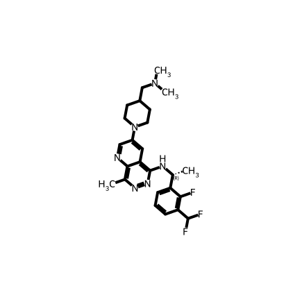 Cc1nnc(N[C@H](C)c2cccc(C(F)F)c2F)c2cc(N3CCC(CN(C)C)CC3)cnc12